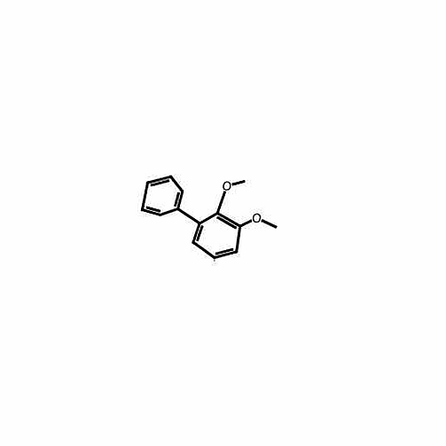 COc1c[c]cc(-c2ccccc2)c1OC